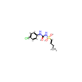 CCC=CS(=O)(=O)NC(=O)Nc1ccc(Cl)cc1